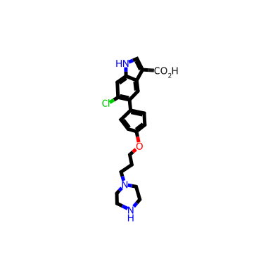 O=C(O)c1c[nH]c2cc(Cl)c(-c3ccc(OCCCN4CCNCC4)cc3)cc12